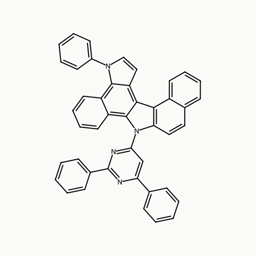 c1ccc(-c2cc(-n3c4ccc5ccccc5c4c4c5ccn(-c6ccccc6)c5c5ccccc5c43)nc(-c3ccccc3)n2)cc1